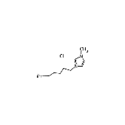 CC(C)CCCCC[n+]1ccn(C)c1.[Cl-]